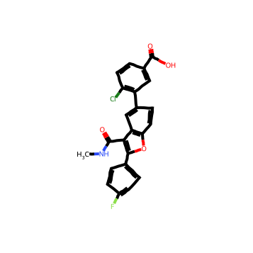 CNC(=O)c1c(-c2ccc(F)cc2)oc2ccc(-c3cc(C(=O)O)ccc3Cl)cc12